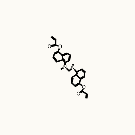 C=CC(=O)Oc1cccc2c(N(C)CN(C)c3cccc4c(OC(=O)C=C)cccc34)cccc12